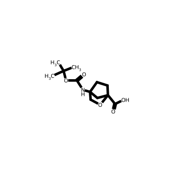 CC(C)(C)OC(=O)NC12CCC(C(=O)O)(C1)OC2